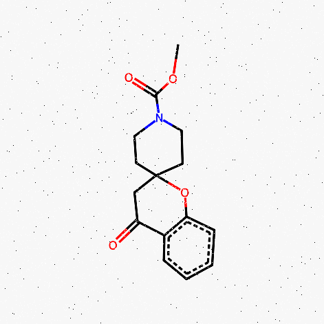 COC(=O)N1CCC2(CC1)CC(=O)c1ccccc1O2